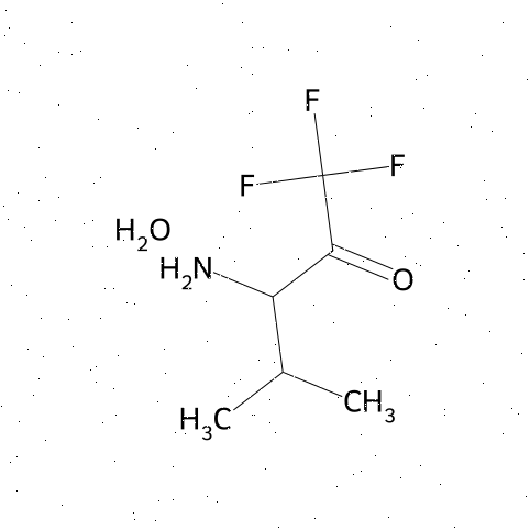 CC(C)C(N)C(=O)C(F)(F)F.O